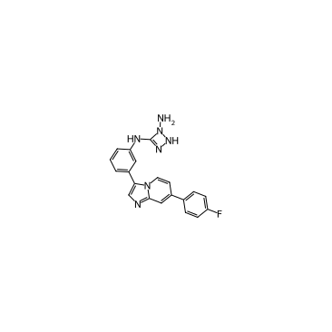 Nn1[nH]nc1Nc1cccc(-c2cnc3cc(-c4ccc(F)cc4)ccn23)c1